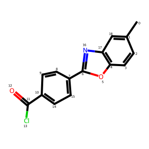 Cc1ccc2oc(-c3ccc(C(=O)Cl)cc3)nc2c1